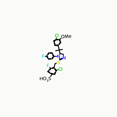 COc1cc(C(C)(C)C2CN=C(SCc3c(F)cc(S(=O)(=O)O)cc3Cl)N2c2ccc(F)cc2)ccc1Cl